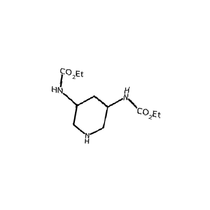 CCOC(=O)NC1CNCC(NC(=O)OCC)C1